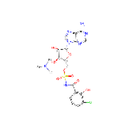 CCN(CC)CC.Nc1ncnc2c1ncn2[C@@H]1O[C@H](COS(=O)(=O)NC(=O)c2cccc(Cl)c2O)[C@@H](O)[C@H]1O